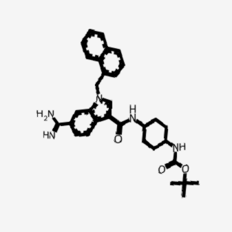 CC(C)(C)OC(=O)NC1CCC(NC(=O)c2cn(Cc3cccc4ccccc34)c3cc(C(=N)N)ccc23)CC1